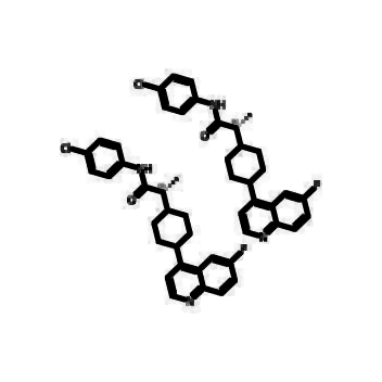 C[C@@H](C(=O)Nc1ccc(Cl)cc1)C1CCC(c2ccnc3ccc(F)cc23)CC1.C[C@@H](C(=O)Nc1ccc(Cl)cc1)C1CCC(c2ccnc3ccc(F)cc23)CC1